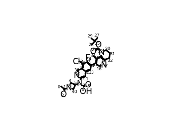 CC(=O)N1CC(N(C(=O)O)c2cc3cc(-c4cnc5c(c4C)N(C(=O)OC(C)(C)C)CCC5)c(F)c(Cl)c3cn2)C1